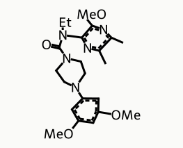 CCN(C(=O)N1CCN(c2cc(OC)cc(OC)c2)CC1)c1nc(C)c(C)nc1OC